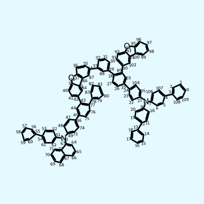 c1ccc(-c2ccc(N(c3ccc(-c4ccccc4)cc3)c3ccc(-c4ccc(-c5cccc(-c6ccc7oc8ccc(-c9cc(-c%10ccc(N(c%11ccc(-c%12ccccc%12)cc%11)c%11cccc%12ccccc%11%12)cc%10)ccc9-c9ccccc9)cc8c7c6)c5)c(-c5ccc6oc7ccccc7c6c5)c4)cc3)cc2)cc1